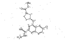 CC(C)(C)OC(=O)N1CC[C@H](Oc2nc(C(=N)NN)cc3ccc(Cl)cc23)C1